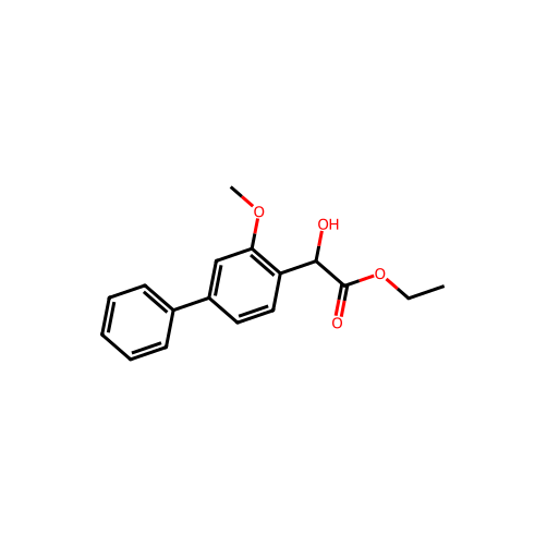 CCOC(=O)C(O)c1ccc(-c2ccccc2)cc1OC